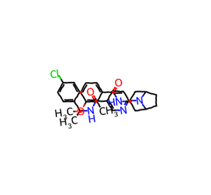 COc1cccc(C(=O)NC2CC3CCC(C2)N3c2ccc(C(=O)N[C@@H](C)c3ccc(Cl)cc3)cn2)c1C